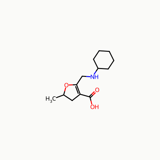 CC1CC(C(=O)O)=C(CNC2CCCCC2)O1